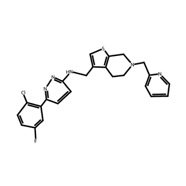 Fc1ccc(Cl)c(-c2ccc(NCc3csc4c3CCN(Cc3ccccn3)C4)nn2)c1